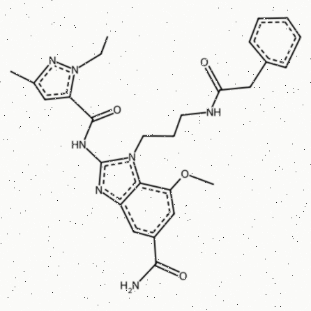 CCn1nc(C)cc1C(=O)Nc1nc2cc(C(N)=O)cc(OC)c2n1CCCNC(=O)Cc1ccccc1